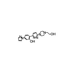 OCCN1CCN(c2ccc(-c3ccc(-n4cccn4)cc3O)nn2)CC1